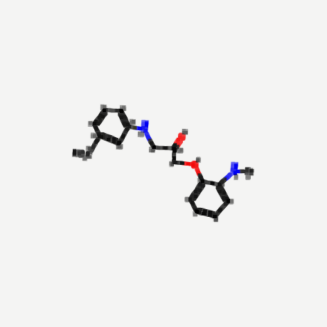 CCNc1ccccc1OCC(=O)CNc1cccc(C(=O)O)c1